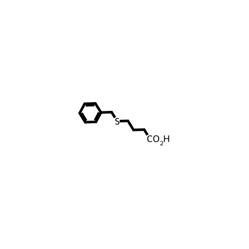 O=C(O)CCCSCc1ccccc1